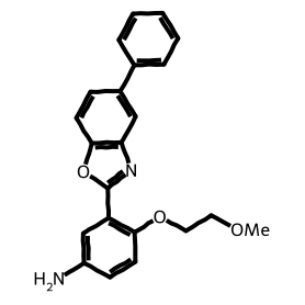 COCCOc1ccc(N)cc1-c1nc2cc(-c3ccccc3)ccc2o1